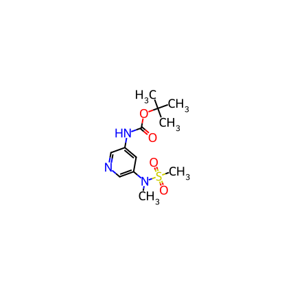 CN(c1cncc(NC(=O)OC(C)(C)C)c1)S(C)(=O)=O